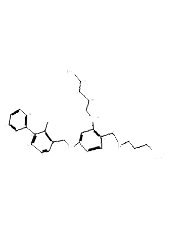 Cc1c(COc2ccc(CNCCCC(=O)O)c(OCCCCC#N)c2)cccc1-c1ccccc1